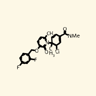 CNC(=O)C1=CC(Cl)C(C)(n2c(C)ccc(OCc3ccc(F)cc3F)c2=O)C=C1